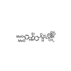 CCc1c(-c2ccc(OC)c(OC)c2)[nH]c2ccc(C(=O)NCCC(C)(C)NS(C)(=O)=O)cc12